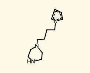 c1ccn(CCCCN2CCNCC2)c1